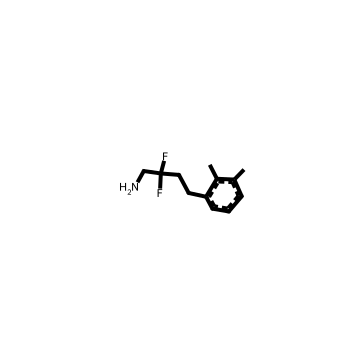 Cc1cccc(CCC(F)(F)CN)c1C